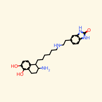 NC1CCc2c(ccc(O)c2O)C1CCCCCCNCCc1ccc2[nH]c(=O)[nH]c2c1